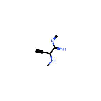 C#CC(NC)C(=N)N=C